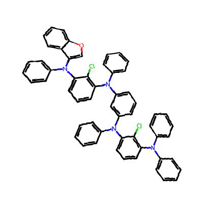 Clc1c(N(c2ccccc2)c2ccccc2)cccc1N(c1ccccc1)c1cccc(N(c2ccccc2)c2cccc(N(c3ccccc3)c3coc4ccccc34)c2Cl)c1